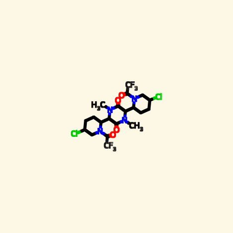 CN1C(=O)C(C2CCC(Cl)CN2C(=O)C(F)(F)F)N(C)C(=O)C1C1CCC(Cl)CN1C(=O)C(F)(F)F